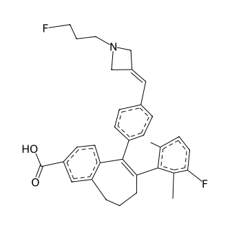 Cc1ccc(F)c(C)c1C1=C(c2ccc(C=C3CN(CCCF)C3)cc2)c2ccc(C(=O)O)cc2CCC1